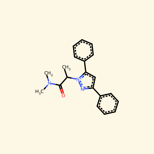 CC(C(=O)N(C)C)n1nc(-c2ccccc2)cc1-c1ccccc1